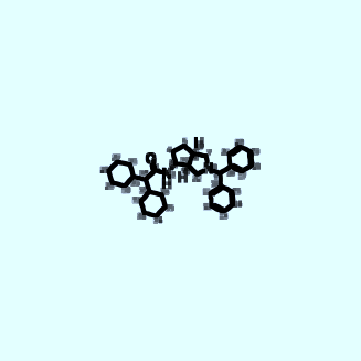 O=C(N[C@H]1CC[C@H]2CN(C(c3ccccc3)c3ccccc3)C[C@H]21)C(C1CCCCC1)C1CCCCC1